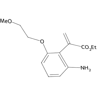 C=C(C(=O)OCC)c1c(N)cccc1OCCOC